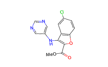 COC(=O)c1oc2ccc(Cl)cc2c1Nc1cncnc1